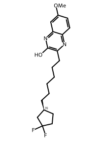 COc1ccc2nc(CCCCCC[C@H]3CCC(F)(F)C3)c(O)nc2c1